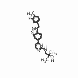 Cc1ccc(Cn2nnc3cc(-c4ccnc(NCC(C)(C)O)n4)ccc32)cc1F